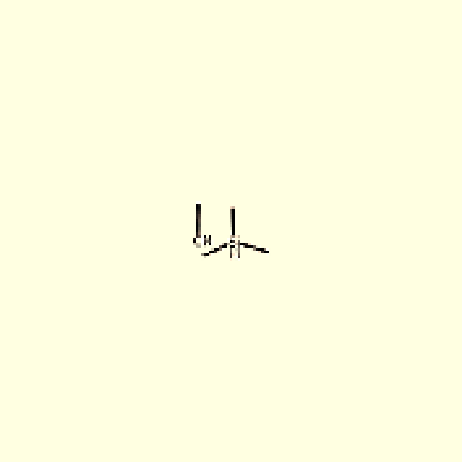 CC#N.C[SiH](C)C